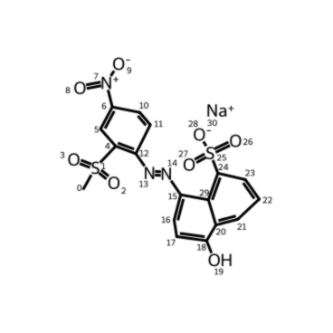 CS(=O)(=O)c1cc([N+](=O)[O-])ccc1N=Nc1ccc(O)c2cccc(S(=O)(=O)[O-])c12.[Na+]